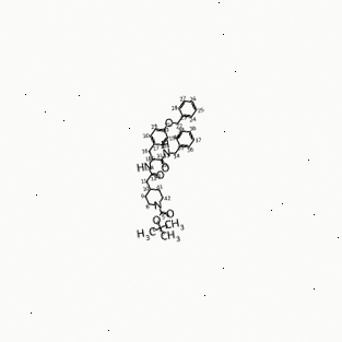 CC(C)(C)OC(=O)N1CCC(CC(=O)N[C@@H](Cc2ccc(OCc3ccccc3)cc2)C(=O)NCc2ccccc2)CC1